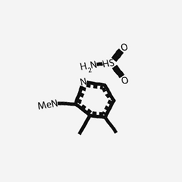 CNc1nccc(C)c1C.N[SH](=O)=O